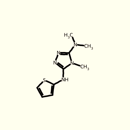 CN(C)c1nnc(Nc2cccs2)n1C